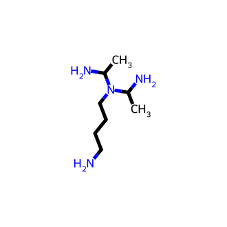 CC(N)N(CCCCN)C(C)N